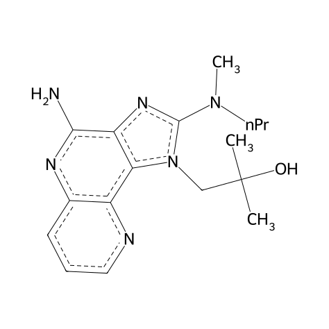 CCCN(C)c1nc2c(N)nc3cccnc3c2n1CC(C)(C)O